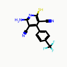 N#Cc1c(N)nc(S)c(C#N)c1-c1ccc(C(F)(F)F)cc1